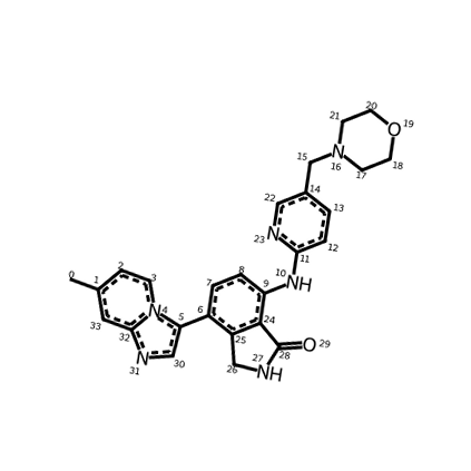 Cc1ccn2c(-c3ccc(Nc4ccc(CN5CCOCC5)cn4)c4c3CNC4=O)cnc2c1